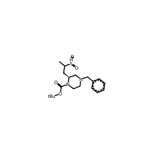 CC(C[C@H]1CN(Cc2ccccc2)CCN1C(=O)OC(C)(C)C)[SH](=O)=O